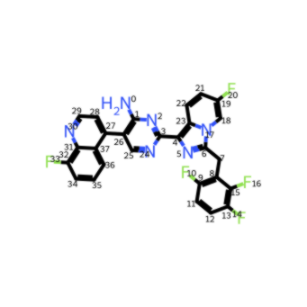 Nc1nc(-c2nc(Cc3c(F)ccc(F)c3F)n3cc(F)ccc23)ncc1-c1ccnc2c(F)cccc12